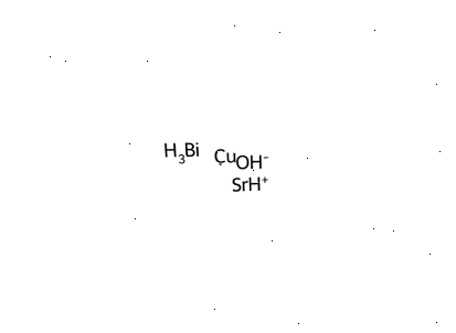 [BiH3].[Cu].[OH-].[SrH+]